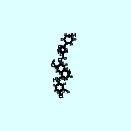 COc1cc2c(Nc3ccc(Cl)c(C)c3)ncnc2cc1OCc1noc(C2CCNCC2)n1